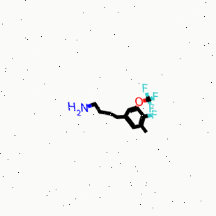 Cc1cc(CCCCN)cc(OC(F)(F)F)c1F